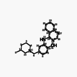 CC1CCCN(Cc2ccc(O)c(Nc3ncnc4ccccc34)c2)C1